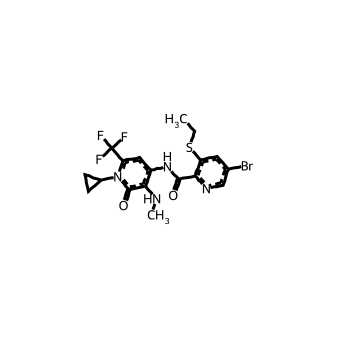 CCSc1cc(Br)cnc1C(=O)Nc1cc(C(F)(F)F)n(C2CC2)c(=O)c1NC